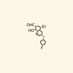 CCc1cc(C=O)c(O)c2ncc(Cc3ccc(F)cc3)cc12